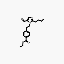 CCCCc1ncc(C=O)n1CCc1ccc(C(=O)OCC)cc1